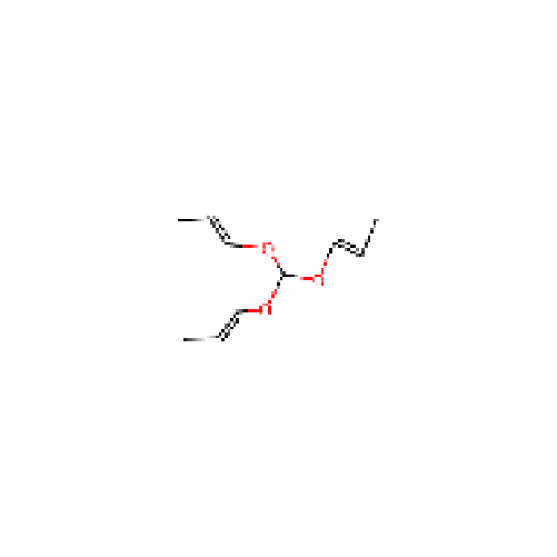 CC=COC(OC=CC)OC=CC